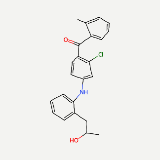 Cc1ccccc1C(=O)c1ccc(Nc2ccccc2CC(C)O)cc1Cl